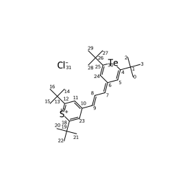 CC(C)(C)C1=CC(=C/C=C/c2cc(C(C)(C)C)[s+]c(C(C)(C)C)c2)C=C(C(C)(C)C)[Te]1.[Cl-]